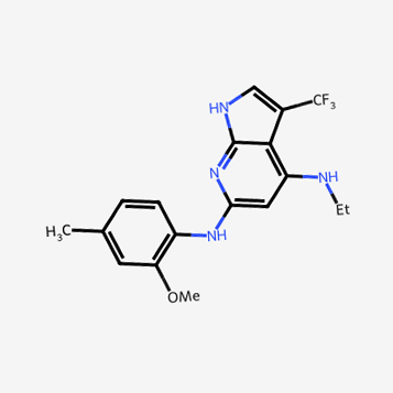 CCNc1cc(Nc2ccc(C)cc2OC)nc2[nH]cc(C(F)(F)F)c12